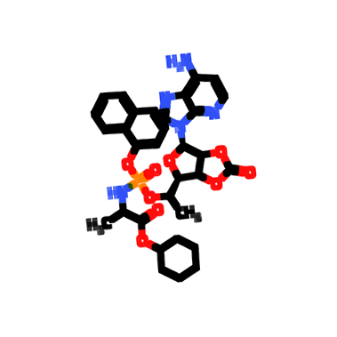 CC(NP(=O)(Oc1cccc2ccccc12)OC(C)[C@H]1O[C@@H](n2cnc3c(N)ccnc32)C2OC(=O)OC21)C(=O)OC1CCCCC1